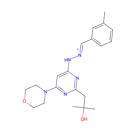 Cc1cccc(/C=N/Nc2cc(N3CCOCC3)nc(CC(C)(C)O)n2)c1